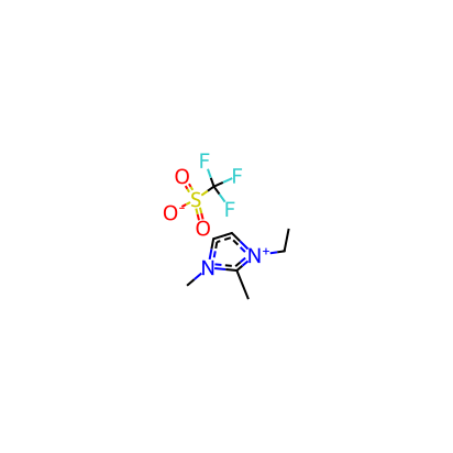 CC[n+]1ccn(C)c1C.O=S(=O)([O-])C(F)(F)F